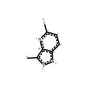 Cc1snc2ccc(I)nc12